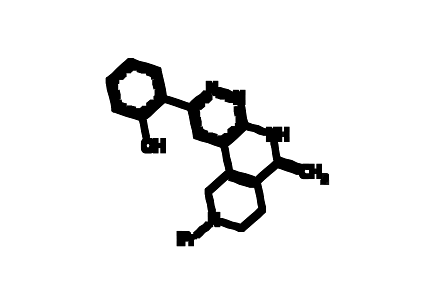 C=C1Nc2nnc(-c3ccccc3O)cc2C2=C1CCN(C(C)C)C2